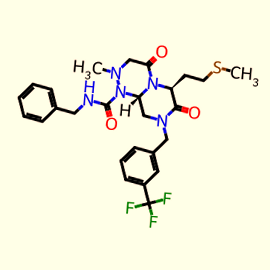 CSCC[C@H]1C(=O)N(Cc2cccc(C(F)(F)F)c2)C[C@H]2N1C(=O)CN(C)N2C(=O)NCc1ccccc1